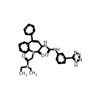 CCN(CC)C(=O)CN1C(=O)C(NC(=O)Nc2cccc(-c3nnn[nH]3)c2)C=C(c2ccccc2)c2ccccc21